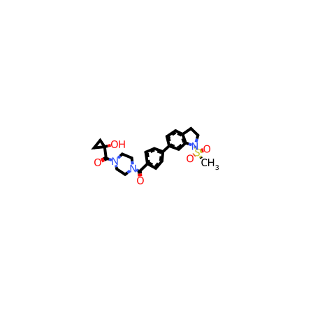 CS(=O)(=O)N1CCc2ccc(-c3ccc(C(=O)N4CCN(C(=O)C5(O)CC5)CC4)cc3)cc21